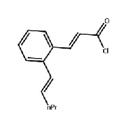 CCCC=Cc1ccccc1C=CC(=O)Cl